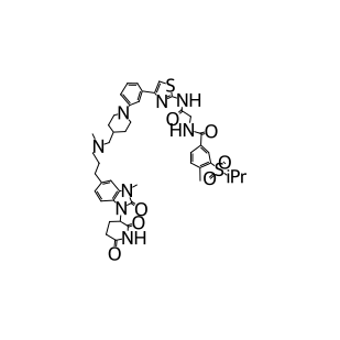 Cc1ccc(C(=O)NCC(=O)Nc2nc(-c3cccc(N4CCC(CN(C)CCCc5ccc6c(c5)n(C)c(=O)n6C5CCC(=O)NC5=O)CC4)c3)cs2)cc1S(=O)(=O)C(C)C